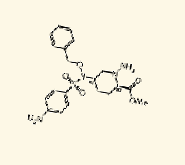 COC(=O)[C@H]1CC[C@@H](N(OCc2ccccc2)S(=O)(=O)c2ccc([N+](=O)[O-])cc2)CN1N